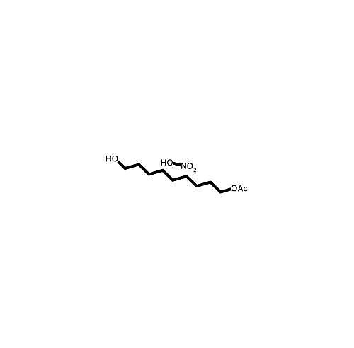 CC(=O)OCCCCCCCCCO.O=[N+]([O-])O